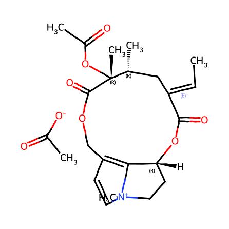 C/C=C1\C[C@@H](C)[C@@](C)(OC(C)=O)C(=O)OCC2=C3[C@@H](CC[N+]3(C)C=C2)OC1=O.CC(=O)[O-]